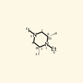 CCN1[C@H](C)CN(I)C[C@@H]1C